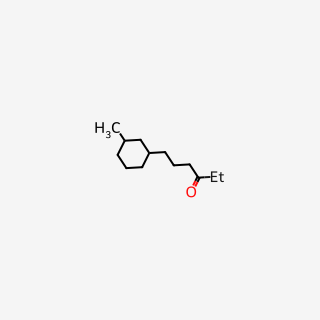 CCC(=O)CCCC1CCCC(C)C1